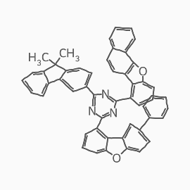 CC1(C)c2ccccc2-c2cc(-c3nc(-c4cccc5oc6ccc(-c7ccccc7)cc6c45)nc(-c4cccc5oc6c7ccccc7ccc6c45)n3)ccc21